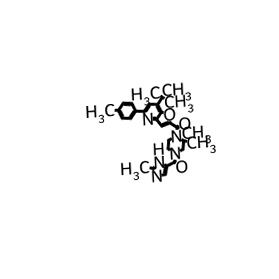 Cc1ccc(-c2cc(C(C)(C)C)c3oc(C(=O)N4CCN(C(=O)c5cnc(C)[nH]5)CC4(C)C)cc3n2)cc1